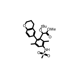 COC(=O)C(OC(C)(C)C)c1c(C)c(NS(C)(=O)=O)cc(C)c1-c1ccc2c(c1)CCCO2